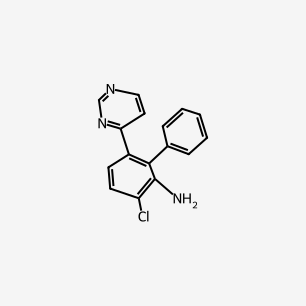 Nc1c(Cl)ccc(-c2ccncn2)c1-c1ccccc1